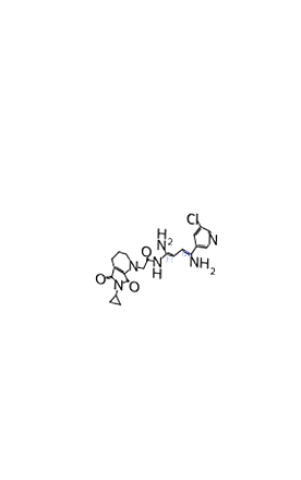 N/C(=C\C=C(/N)NC(=O)CN1CCCC2=C1C(=O)N(C1CC1)C2=O)c1cncc(Cl)c1